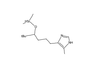 Cc1[nH]cnc1CCCC(O[SiH](C)C)C(C)(C)C